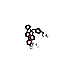 C=Cc1ccc(CC2(Cc3ccc(C=C)cc3)c3ccccc3-c3ccc(-c4ccc(Cl)cc4)cc32)cc1